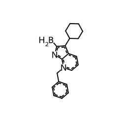 Bc1nc2n(Cc3ccccc3)cccc-2c1C1CCCCC1